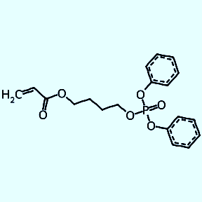 C=CC(=O)OCCCCOP(=O)(Oc1ccccc1)Oc1ccccc1